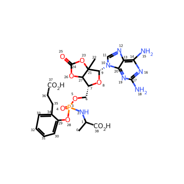 CC(NP(=O)(OC[C@H]1O[C@@H](n2cnc3c(N)nc(N)nc32)C2(C)OC(=O)OC12)Oc1ccccc1CCC(=O)O)C(=O)O